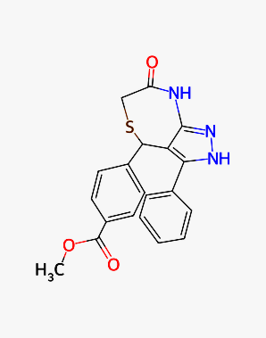 COC(=O)c1ccc(C2SCC(=O)Nc3n[nH]c(-c4ccccc4)c32)cc1